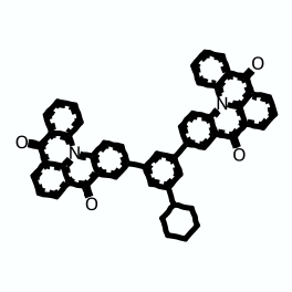 O=c1c2ccccc2n2c3ccc(-c4cc(-c5ccc6c(c5)c(=O)c5cccc7c(=O)c8ccccc8n6c75)cc(C5CCCCC5)c4)cc3c(=O)c3cccc1c32